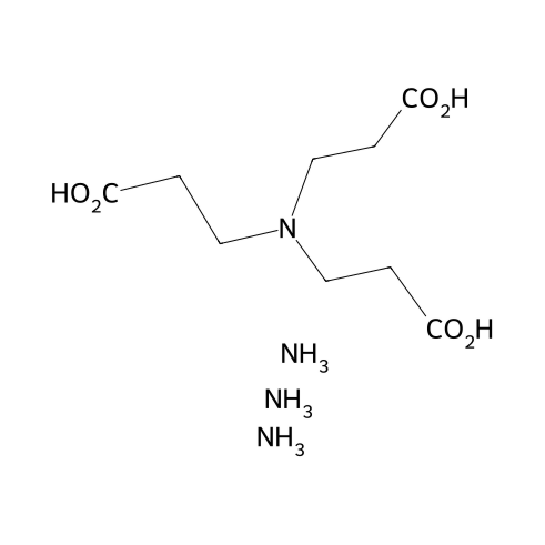 N.N.N.O=C(O)CCN(CCC(=O)O)CCC(=O)O